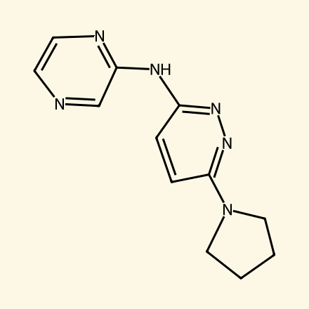 c1cnc(Nc2ccc(N3CCCC3)nn2)cn1